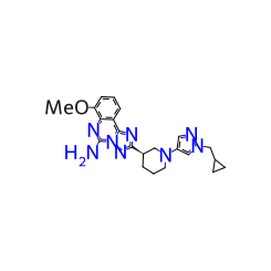 COc1cccc2c1nc(N)n1nc([C@@H]3CCCN(c4cnn(CC5CC5)c4)C3)nc21